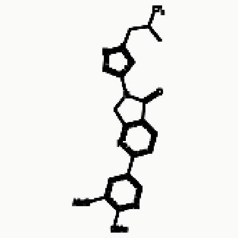 COc1cc(-c2ccc3c(n2)CN(c2cnn(CC(C)C(F)(F)F)c2)C3=O)cnc1OC